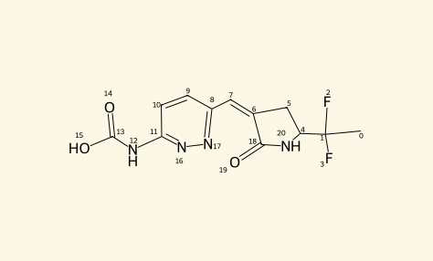 CC(F)(F)C1CC(=Cc2ccc(NC(=O)O)nn2)C(=O)N1